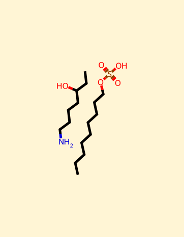 CCC(O)CCCCN.CCCCCCCCCOS(=O)(=O)O